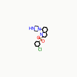 O=S(=O)(c1cccc(Cl)c1)c1ccc2cccc(N3CCNCC3)c2n1